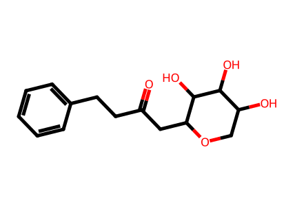 O=C(CCc1ccccc1)CC1OCC(O)C(O)C1O